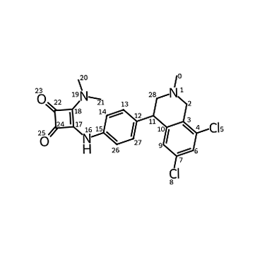 CN1Cc2c(Cl)cc(Cl)cc2C(c2ccc(Nc3c(N(C)C)c(=O)c3=O)cc2)C1